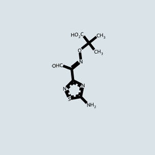 CC(C)(O/N=C(\[C]=O)c1nsc(N)n1)C(=O)O